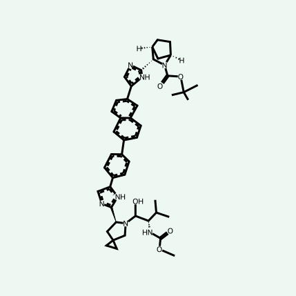 COC(=O)N[C@@H](C(C)C)C(O)N1CC2(CC2)C[C@H]1c1ncc(-c2ccc(-c3ccc4cc(-c5cnc([C@@H]6[C@H]7CC[C@H](C7)N6C(=O)OC(C)(C)C)[nH]5)ccc4c3)cc2)[nH]1